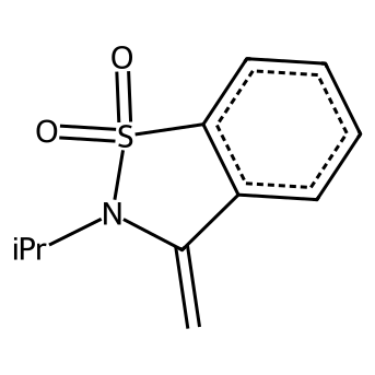 C=C1c2ccccc2S(=O)(=O)N1C(C)C